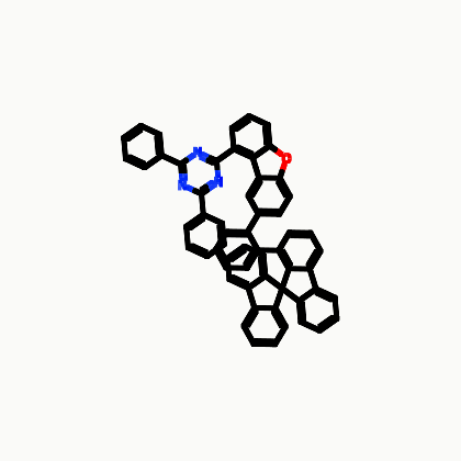 c1ccc(-c2nc(-c3ccccc3)nc(-c3cccc4oc5ccc(-c6ccccc6-c6cccc7c6C6(c8ccccc8-c8ccccc86)c6ccccc6-7)cc5c34)n2)cc1